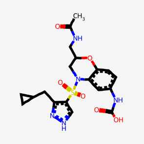 CC(=O)NCC1CN(S(=O)(=O)c2c[nH]nc2CC2CC2)c2cc(NC(=O)O)ccc2O1